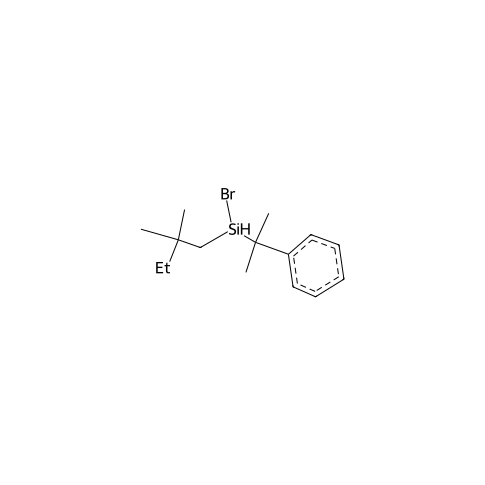 CCC(C)(C)C[SiH](Br)C(C)(C)c1ccccc1